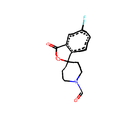 O=CN1CCC2(CC1)OC(=O)c1cc(F)ccc12